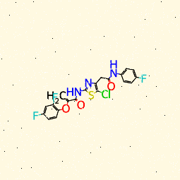 C=C(Oc1ccc(F)cc1F)C(=O)Nc1nc(CC(=O)Nc2ccc(F)cc2)c(Cl)s1